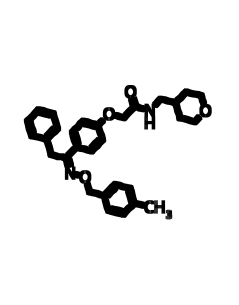 Cc1ccc(CON=C(Cc2ccccc2)c2ccc(OCC(=O)NCC3CCOCC3)cc2)cc1